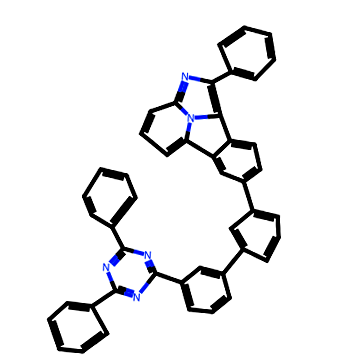 c1ccc(-c2nc(-c3ccccc3)nc(-c3cccc(-c4cccc(-c5ccc6c(c5)c5cccc7nc(-c8ccccc8)c6n75)c4)c3)n2)cc1